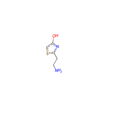 NCCc1nc(O)cs1